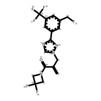 C=C(Cn1cnc(-c2cc(CF)cc(C(F)(F)F)c2)n1)C(=O)N1CC(F)(F)C1